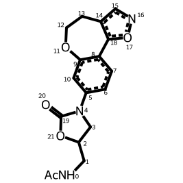 CC(=O)NCC1CN(c2ccc3c(c2)OCCc2cnoc2-3)C(=O)O1